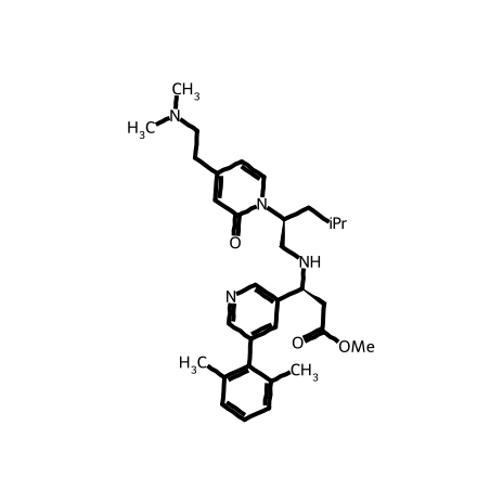 COC(=O)C[C@H](NC[C@H](CC(C)C)n1ccc(CCN(C)C)cc1=O)c1cncc(-c2c(C)cccc2C)c1